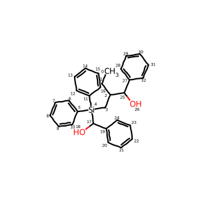 CCC(C[Si](c1ccccc1)(c1ccccc1)C(O)c1ccccc1)C(O)c1ccccc1